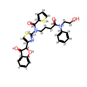 O=C1c2ccccc2OC1c1csc(N(CCCC(=O)N(CCO)c2ccccc2)C(=O)c2cccs2)n1